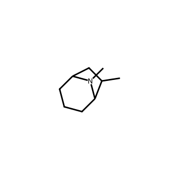 CC1CC2CCCC1N2C